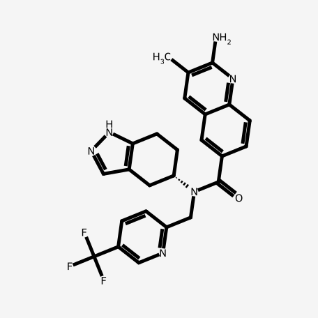 Cc1cc2cc(C(=O)N(Cc3ccc(C(F)(F)F)cn3)[C@H]3CCc4[nH]ncc4C3)ccc2nc1N